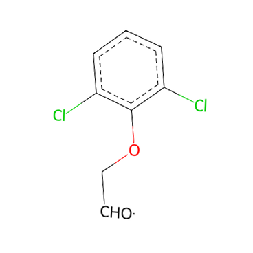 O=[C]COc1c(Cl)cccc1Cl